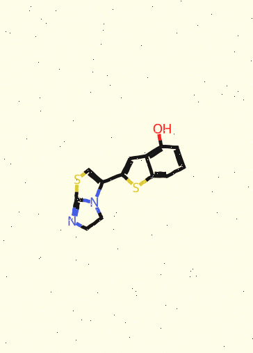 Oc1cccc2sc(C3=CSC4=NCCN34)cc12